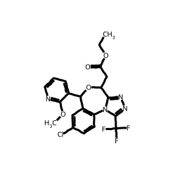 CCOC(=O)CC1OC(c2cccnc2OC)c2cc(Cl)ccc2-n2c1nnc2C(F)(F)F